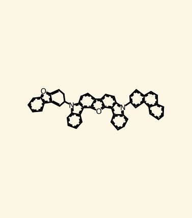 C1=c2oc3ccccc3c2=CC(n2c3ccccc3c3c4oc5c(ccc6c5c5ccccc5n6-c5ccc6ccc7ccccc7c6c5)c4ccc32)C1